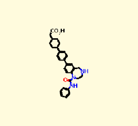 O=C(O)CC1CCC(c2ccc(-c3ccc4c(c3)CNCCN4C(=O)Nc3ccccc3)cc2)CC1